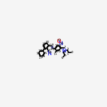 CCCN(CCC)Cc1cc(C)c(/C=C/c2cccc(-c3ccccc3)c2C#N)cc1N=O